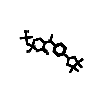 CC(C)[C@@]1(CC(C)(C)O)CCN([C@@H](C)c2ccc(B3OC(C)(C)C(C)(C)O3)cc2)C(=O)O1